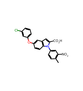 Cc1ccc(-n2c(C(=O)O)cc3cc(Oc4cccc(Cl)c4)ccc32)cc1[N+](=O)[O-]